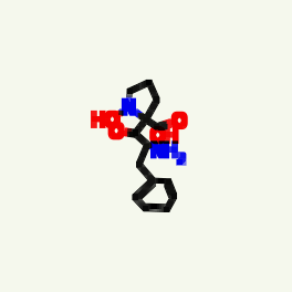 NC(Cc1ccccc1)C(=O)C1(C(=O)O)CCCN1O